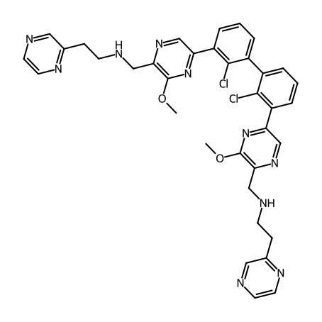 COc1nc(-c2cccc(-c3cccc(-c4cnc(CNCCc5cnccn5)c(OC)n4)c3Cl)c2Cl)cnc1CNCCc1cnccn1